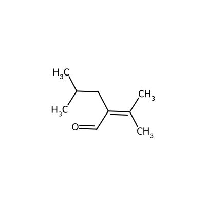 CC(C)=C(C=O)CC(C)C